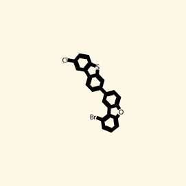 Clc1ccc2sc3cc(-c4ccc5oc6cccc(Br)c6c5c4)ccc3c2c1